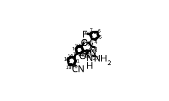 CC1[C@H](c2ccccc2F)Oc2ccc(-c3cccc(C#N)c3)cc2[C@]12N=C(N)NC2=O